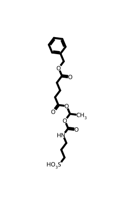 CC(OC(=O)CCCC(=O)OCc1ccccc1)OC(=O)NCCCS(=O)(=O)O